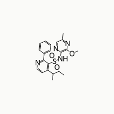 CCC(C)c1ccnc(-c2ccccc2)c1S(=O)(=O)Nc1ncc(C)nc1OC